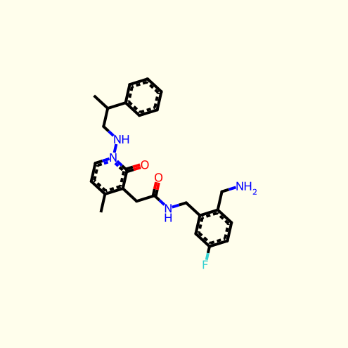 Cc1ccn(NCC(C)c2ccccc2)c(=O)c1CC(=O)NCc1cc(F)ccc1CN